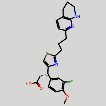 COc1ccc([C@H](CC(=O)O)c2csc(CCCc3ccc4c(n3)NCCC4)n2)cc1F